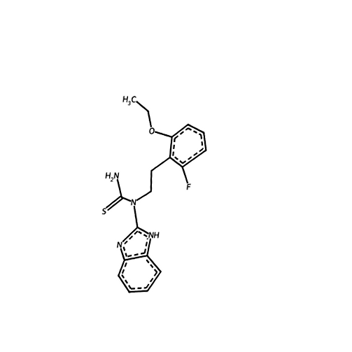 CCOc1cccc(F)c1CCN(C(N)=S)c1nc2ccccc2[nH]1